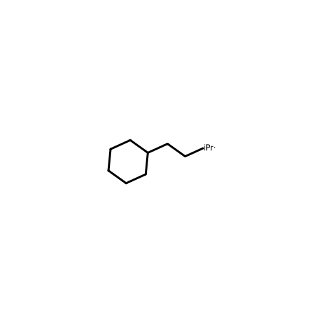 C[C](C)CCC1CCCCC1